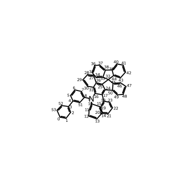 c1ccc(-c2cccc(N(c3ccccc3)c3c(-c4ccccc4)c4c(c5ccccc35)C3(c5ccccc5-c5ccccc53)c3ccccc3-4)c2)cc1